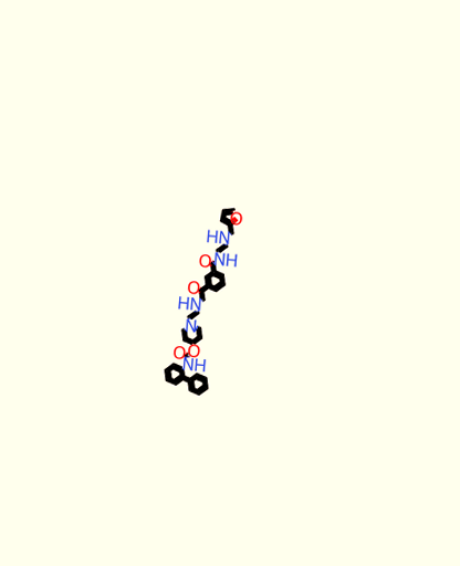 O=C(Nc1ccccc1-c1ccccc1)OC1CCN(CCNCC(=O)c2cccc(C(=O)NCCNCc3ccco3)c2)CC1